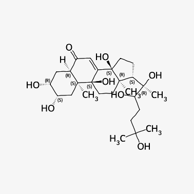 CC(C)(O)CCC(O)[C@](C)(O)[C@H]1CC[C@@]2(O)C3=CC(=O)[C@@H]4C[C@@H](O)[C@@H](O)C[C@]4(C)[C@@]3(O)CC[C@]12C